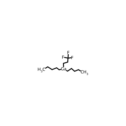 CCCC[CH2][Ga]([CH2]CCCC)[CH2]CC(F)(F)F